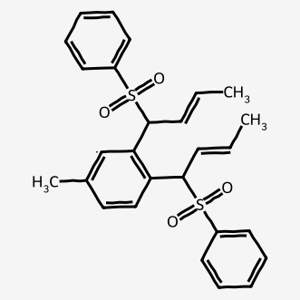 CC=CC(c1[c]c(C)ccc1C(C=CC)S(=O)(=O)c1ccccc1)S(=O)(=O)c1ccccc1